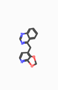 c1ccc2c(Cc3ccnc4c3OCO4)ncnc2c1